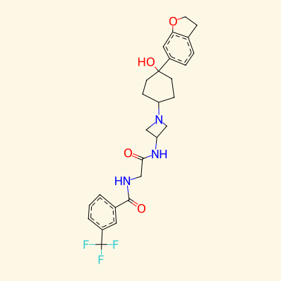 O=C(CNC(=O)c1cccc(C(F)(F)F)c1)NC1CN(C2CCC(O)(c3ccc4c(c3)OCC4)CC2)C1